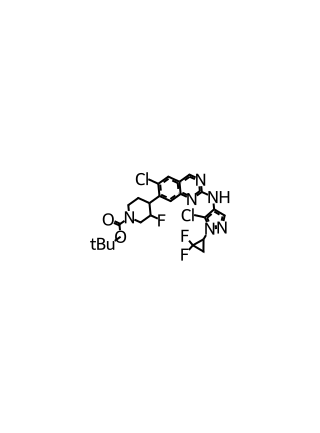 CC(C)(C)OC(=O)N1CCC(c2cc3nc(Nc4cnn(C5CC5(F)F)c4Cl)ncc3cc2Cl)C(F)C1